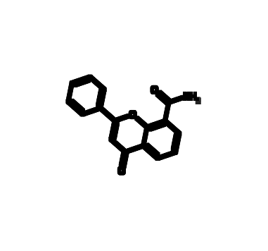 NC(=O)c1cccc2c(=O)cc(-c3ccccc3)oc12